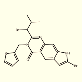 CC(C)C(Br)c1nc2cc3[nH]c(Br)cc3cc2c(=O)n1Cc1cccs1